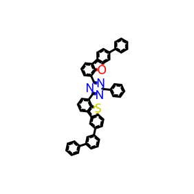 c1ccc(-c2cccc(-c3ccc4sc5c(-c6nc(-c7ccccc7)nc(-c7cccc8c7oc7cc(-c9ccccc9)ccc78)n6)cccc5c4c3)c2)cc1